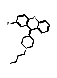 CCCCN1CCC(=C2c3ccccc3Oc3ccc(Br)cc32)CC1